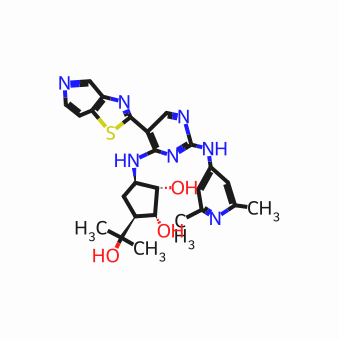 Cc1cc(Nc2ncc(-c3nc4cnccc4s3)c(N[C@@H]3C[C@H](C(C)(C)O)[C@@H](O)[C@H]3O)n2)cc(C)n1